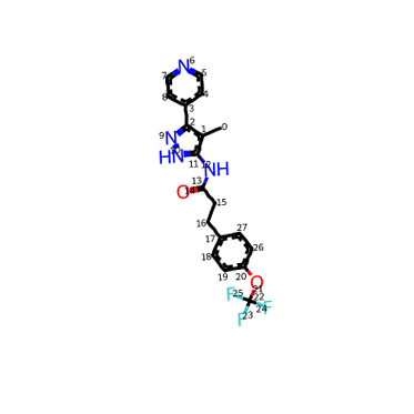 Cc1c(-c2ccncc2)n[nH]c1NC(=O)CCc1ccc(OC(F)(F)F)cc1